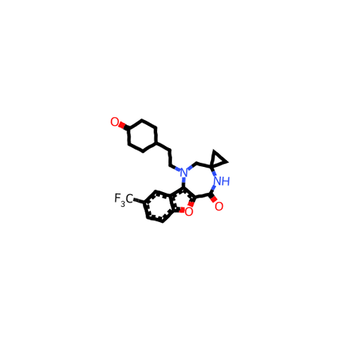 O=C1CCC(CCN2CC3(CC3)NC(=O)c3oc4ccc(C(F)(F)F)cc4c32)CC1